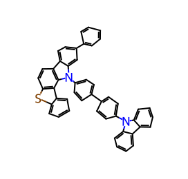 c1ccc(-c2ccc3c4ccc5sc6ccccc6c5c4n(-c4ccc(-c5ccc(-n6c7ccccc7c7ccccc76)cc5)cc4)c3c2)cc1